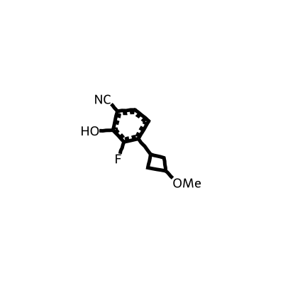 COC1CC(c2ccc(C#N)c(O)c2F)C1